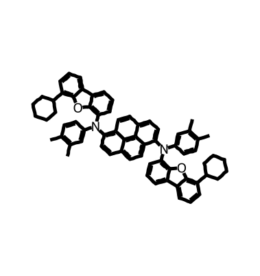 Cc1ccc(N(c2ccc3ccc4c(N(c5ccc(C)c(C)c5)c5cccc6c5oc5c(C7CCCCC7)cccc56)ccc5ccc2c3c54)c2cccc3c2oc2c(C4CCCCC4)cccc23)cc1C